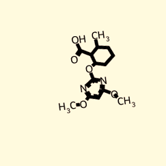 COc1cc(OC)nc(OC2CCCC(C)C2C(=O)O)n1